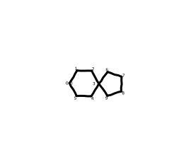 [C]1CCC2(CC1)CCCC2